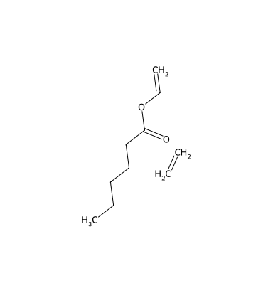 C=C.C=COC(=O)CCCCC